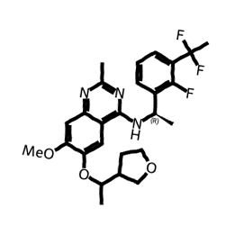 COc1cc2nc(C)nc(N[C@H](C)c3cccc(C(C)(F)F)c3F)c2cc1OC(C)C1CCOC1